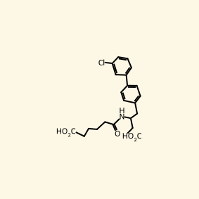 O=C(O)CCCCC(=O)NC(CC(=O)O)Cc1ccc(-c2cccc(Cl)c2)cc1